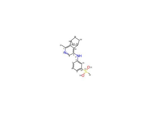 Cc1ncc(Nc2cccc(S(C)(=O)=O)c2)c2c1C1CCC2C1